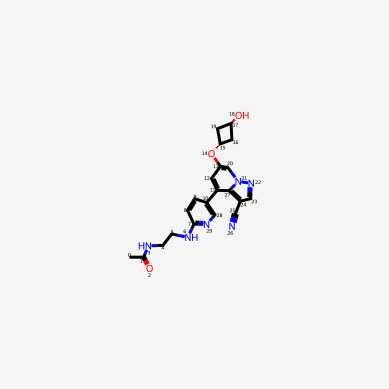 CC(=O)NCCNc1ccc(-c2cc(O[C@H]3C[C@H](O)C3)cn3ncc(C#N)c23)cn1